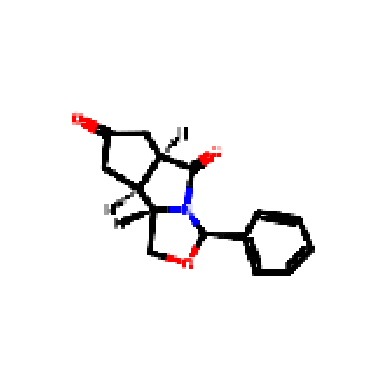 O=C1C[C@@H]2[C@H]3CO[C@H](c4ccccc4)N3C(=O)[C@@H]2C1